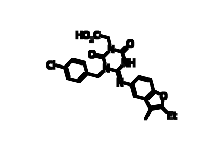 CCc1oc2ccc(/N=c3\[nH]c(=O)n(CC(=O)O)c(=O)n3Cc3ccc(Cl)cc3)cc2c1C